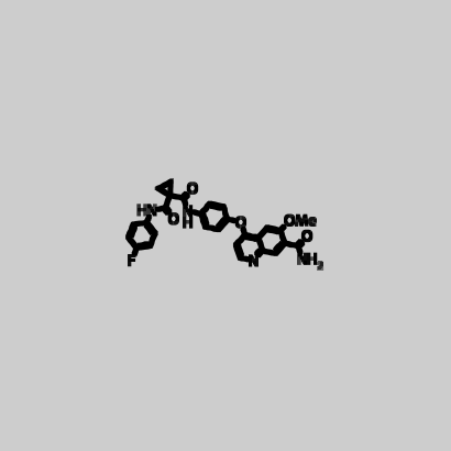 COc1cc2c(Oc3ccc(NC(=O)C4(C(=O)Nc5ccc(F)cc5)CC4)cc3)ccnc2cc1C(N)=O